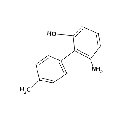 Cc1ccc(-c2c(N)cccc2O)cc1